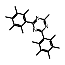 Cc1nc(-c2c(C)c(C)c(C)c(C)c2C)nc(-c2c(C)c(C)c(C)c(C)c2C)n1